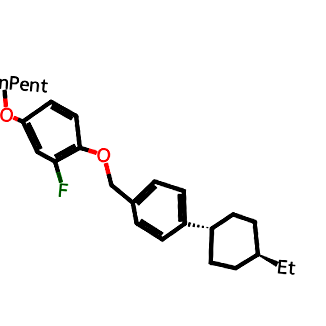 CCCCCOc1ccc(OCc2ccc([C@H]3CC[C@H](CC)CC3)cc2)c(F)c1